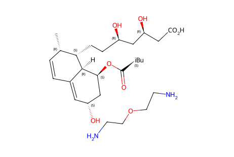 CC[C@H](C)C(=O)O[C@H]1C[C@H](O)C=C2C=C[C@H](C)[C@H](CC[C@@H](O)C[C@@H](O)CC(=O)O)[C@H]21.NCCOCCN